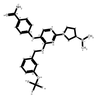 CN(C)[C@@H]1CCN(c2ncc(Sc3ccc(C(N)=O)cc3)c(OCc3cccc(OC(F)(F)F)c3)n2)C1